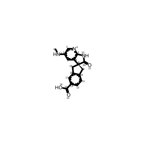 CNc1cnc2c(c1)[C@]1(Cc3ccc(C(=O)O)cc3C1)C(=O)N2